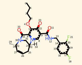 CCCCOc1c2n(cc(C(=O)NCc3ccc(F)cc3F)c1=O)[C@H]1CC=C[C@H](C)N(C1)C2=O